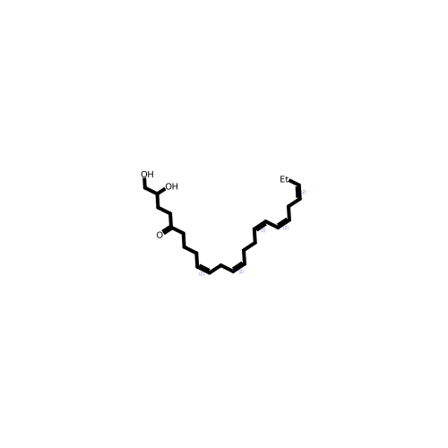 CC/C=C\C/C=C\C=C/CC/C=C\C/C=C\CCCC(=O)CCC(O)CO